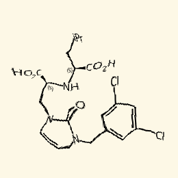 CC(C)C[C@H](N[C@@H](Cn1ccn(Cc2cc(Cl)cc(Cl)c2)c1=O)C(=O)O)C(=O)O